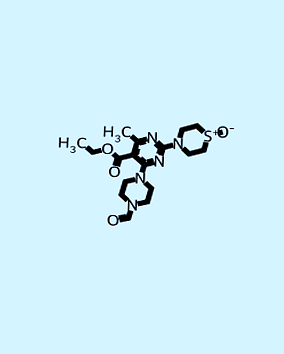 CCOC(=O)c1c(C)nc(N2CC[S+]([O-])CC2)nc1N1CCN(C=O)CC1